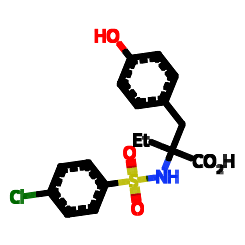 CCC(Cc1ccc(O)cc1)(NS(=O)(=O)c1ccc(Cl)cc1)C(=O)O